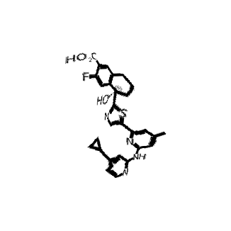 Cc1cc(Nc2cc(C3CC3)ccn2)nc(-c2cnc([C@]3(O)CCCc4cc(C(=O)O)c(F)cc43)s2)c1